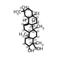 CC[C@]12CCC(C)(C)C[C@@H]1C1=CCC3[C@@]4(C)CC[C@H](O)[C@@](C)(CO)C4CC[C@@]3(C)[C@]1(C)CC2